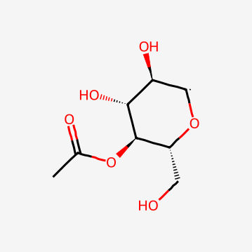 CC(=O)O[C@H]1[C@H](O)[C@@H](O)[CH]O[C@@H]1CO